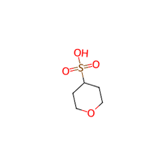 O=S(=O)(O)C1CCOCC1